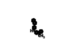 Cn1c2ccccc2c2cc(Nc3ccc(-c4ccc5ccccc5c4)cc3)ccc21